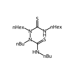 CCCCCCNC(=S)N(CCCCCC)N(CCCC)C(=S)NCCCC